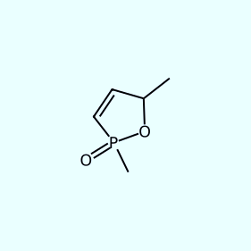 CC1C=CP(C)(=O)O1